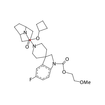 COCCOC(=O)N1CC2(CCN(C3CC4CCC(C3)N4C(=O)OC3CCC3)CC2)c2cc(F)ccc21